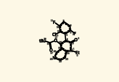 CCn1c(=O)c(-c2c(F)ccc(F)c2Cl)c(OC(=O)C(C)(C)C)c2cnccc21